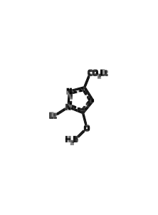 BOc1cc(C(=O)OCC)nn1CC